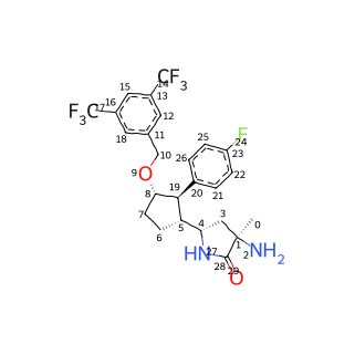 C[C@@]1(N)C[C@@H]([C@@H]2CC[C@H](OCc3cc(C(F)(F)F)cc(C(F)(F)F)c3)[C@H]2c2ccc(F)cc2)NC1=O